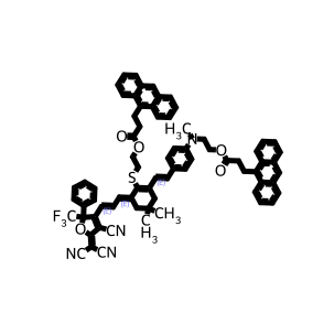 CN(CCOC(=O)CCc1c2ccccc2cc2ccccc12)c1ccc(/C=C/C2=C(SCCOC(=O)CCc3c4ccccc4cc4ccccc34)C(=C/C=C/C3=C(C#N)C(=C(C#N)C#N)OC3(c3ccccc3)C(F)(F)F)/CC(C)(C)C2)cc1